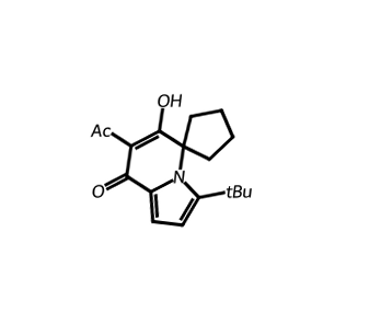 CC(=O)C1=C(O)C2(CCCC2)n2c(ccc2C(C)(C)C)C1=O